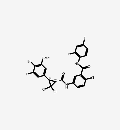 COc1cc([C@H]2[C@H](C(=O)Nc3ccc(Cl)c(C(=O)Nc4ccc(F)cc4F)c3)C2(Cl)Cl)cc(F)c1Br